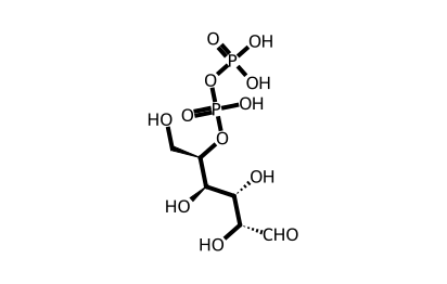 O=C[C@H](O)[C@@H](O)[C@@H](O)[C@@H](CO)OP(=O)(O)OP(=O)(O)O